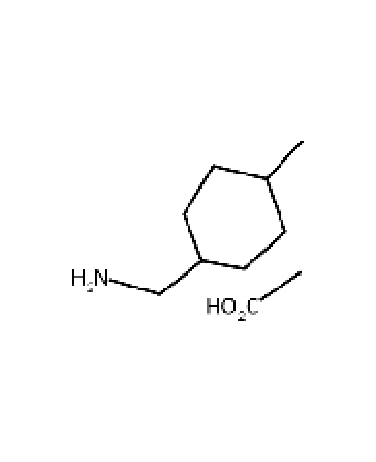 CC(=O)O.CC1CCC(CN)CC1